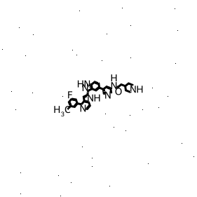 Cc1cc(F)cc(-c2nccc3[nH]c(-c4n[nH]c5ccc(-c6cncc(NC(=O)CC7CCNCC7)c6)cc45)cc23)c1